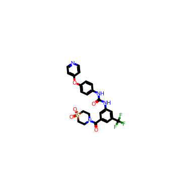 O=C(Nc1ccc(Oc2ccncc2)cc1)Nc1cc(C(=O)N2CCS(=O)(=O)CC2)cc(C(F)(F)F)c1